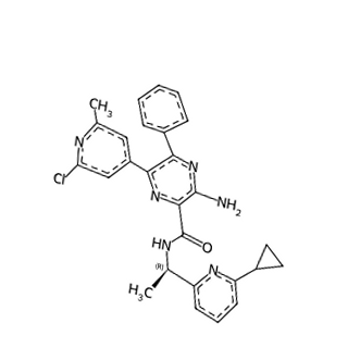 Cc1cc(-c2nc(C(=O)N[C@H](C)c3cccc(C4CC4)n3)c(N)nc2-c2ccccc2)cc(Cl)n1